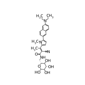 CCN(CC)c1ccc2cc(-c3ccc(/C(C)=C(\C#N)C(=O)NC[C@H]4OC(O)[C@H](O)[C@@H](O)[C@@H]4O)n3C)ccc2c1